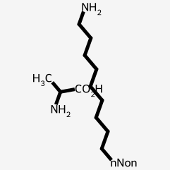 CC(N)C(=O)O.CCCCCCCCCCCCCCCCCCN